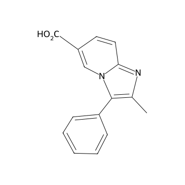 Cc1nc2ccc(C(=O)O)cn2c1-c1ccccc1